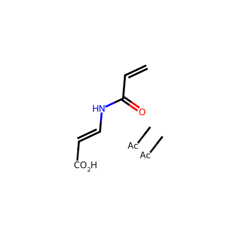 C=CC(=O)NC=CC(=O)O.CC(C)=O.CC(C)=O